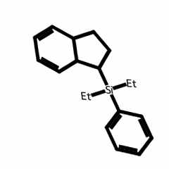 CC[Si](CC)(c1ccccc1)C1CCC2C=CC=CC21